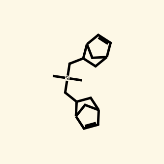 C[Si](C)(CC1CC2C=CC1C2)CC1CC2C=CC1C2